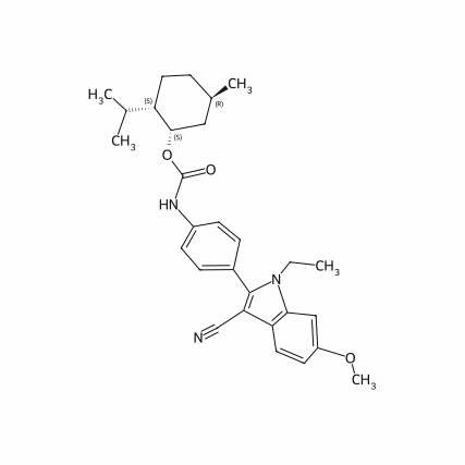 CCn1c(-c2ccc(NC(=O)O[C@H]3C[C@H](C)CC[C@H]3C(C)C)cc2)c(C#N)c2ccc(OC)cc21